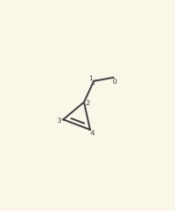 C[CH]C1C=C1